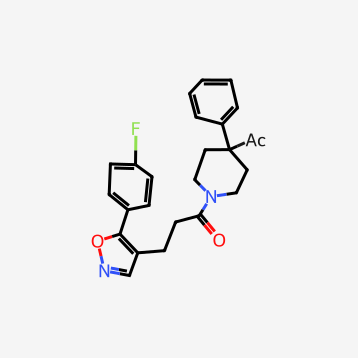 CC(=O)C1(c2ccccc2)CCN(C(=O)CCc2cnoc2-c2ccc(F)cc2)CC1